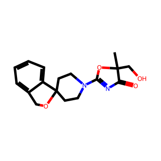 CC1(CO)OC(N2CCC3(CC2)OCc2ccccc23)=NC1=O